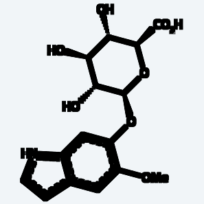 COc1cc2cc[nH]c2cc1O[C@@H]1O[C@H](C(=O)O)[C@@H](O)[C@H](O)[C@H]1O